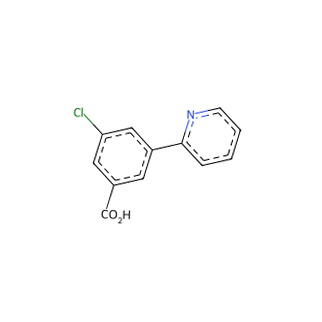 O=C(O)c1cc(Cl)cc(-c2ccccn2)c1